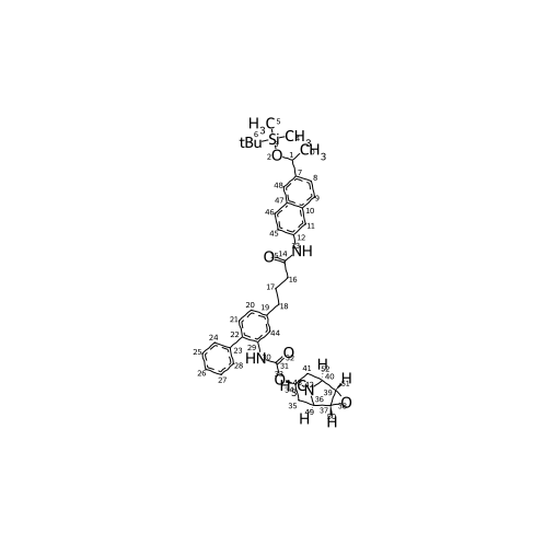 CC(O[Si](C)(C)C(C)(C)C)c1ccc2cc(NC(=O)CCCc3ccc(-c4ccccc4)c(NC(=O)O[C@@H]4C[C@@H]5[C@H]6O[C@H]6[C@H](C4)N5C)c3)ccc2c1